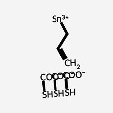 C=C[CH2][Sn+3].O=C([O-])S.O=C([O-])S.O=C([O-])S